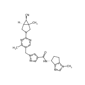 Cc1nc(N2C[C@H]3[C@@H](C#N)C3(C)C2)ncc1Cn1cc(C(=O)N[C@@H]2CCc3c2ncn3C)cn1